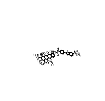 CC1c2ccc(NC(=O)Nc3ccc(-c4cc5ccc(N(C)C)cc5s4)cc3)c(O)c2C(=O)C2=C(O)C3(O)C(=O)C(C(N)=O)=C(O)C(N(C)C)C3C(O)C21